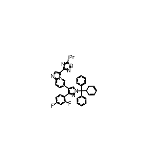 CC(C)c1nc(-c2cnc3ccc(-c4cn(C(c5ccccc5)(c5ccccc5)C5C=CC=CC5)nc4-c4ccc(F)cc4F)cn23)no1